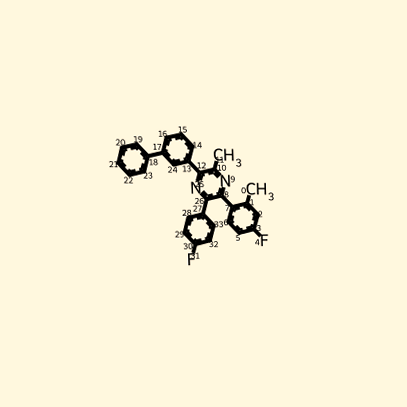 Cc1cc(F)ccc1-c1nc(C)c(-c2cccc(-c3ccccc3)c2)nc1-c1ccc(F)cc1